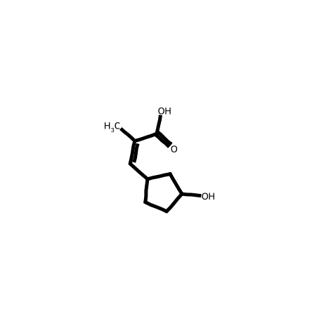 CC(=CC1CCC(O)C1)C(=O)O